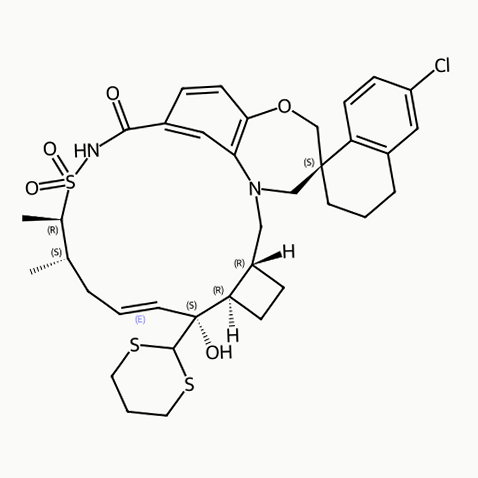 C[C@@H]1[C@@H](C)C/C=C/[C@](O)(C2SCCCS2)[C@@H]2CC[C@H]2CN2C[C@@]3(CCCc4cc(Cl)ccc43)COc3ccc(cc32)C(=O)NS1(=O)=O